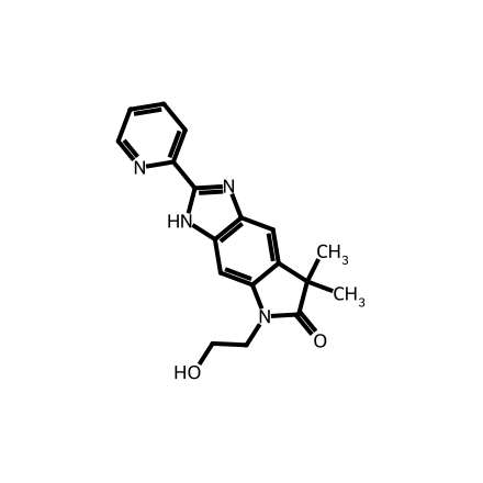 CC1(C)C(=O)N(CCO)c2cc3[nH]c(-c4ccccn4)nc3cc21